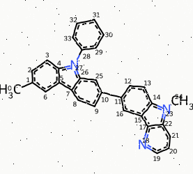 Cc1ccc2c(c1)c1ccc(-c3ccc4c(c3)c3ncccc3n4C)cc1n2-c1ccccc1